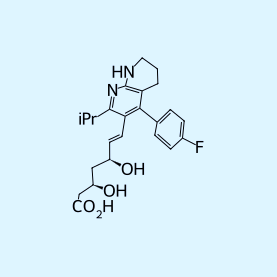 CC(C)c1nc2c(c(-c3ccc(F)cc3)c1/C=C/[C@@H](O)C[C@@H](O)CC(=O)O)CCCN2